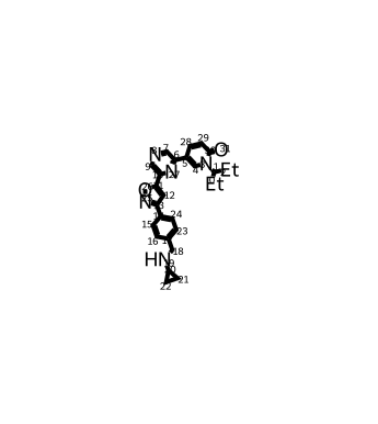 CCC(CC)n1cc(-c2cncc(-c3cc(-c4ccc(CNC5CC5)cc4)no3)n2)ccc1=O